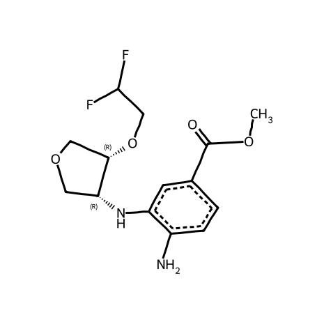 COC(=O)c1ccc(N)c(N[C@@H]2COC[C@@H]2OCC(F)F)c1